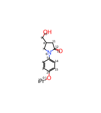 CC(C)Oc1ccc(N2CC(CO)CC2=O)cc1